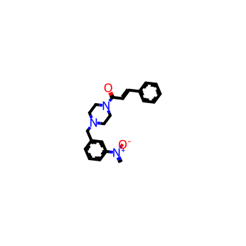 C=[N+]([O-])c1cccc(CN2CCN(C(=O)/C=C/c3ccccc3)CC2)c1